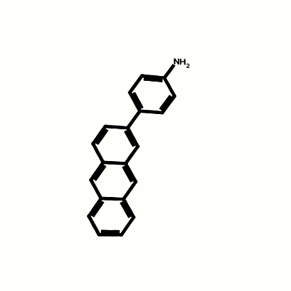 Nc1ccc(-c2ccc3cc4ccccc4cc3c2)cc1